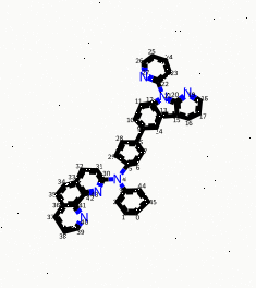 c1ccc(N(c2ccc(-c3ccc4c(c3)c3cccnc3n4-c3ccccn3)cc2)c2ccc3ccc4cccnc4c3n2)cc1